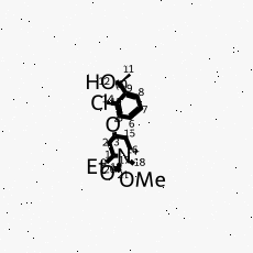 CCC1CC(Oc2cccc([C@H](C)O)c2Cl)CC[N+]1(C)C(=O)OC